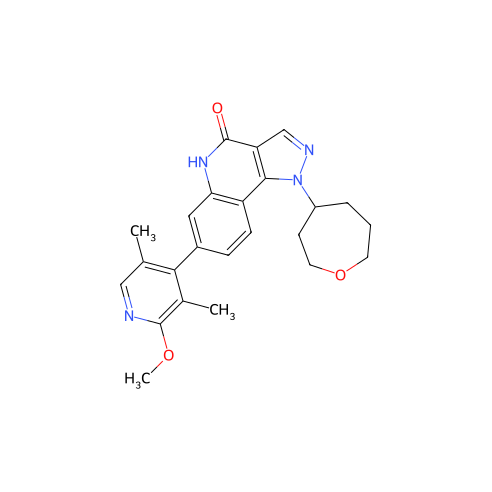 COc1ncc(C)c(-c2ccc3c(c2)[nH]c(=O)c2cnn(C4CCCOCC4)c23)c1C